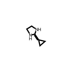 C1CNC(=C2CC2)N1